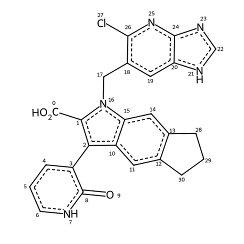 O=C(O)c1c(-c2ccc[nH]c2=O)c2cc3c(cc2n1Cc1cc2[nH]cnc2nc1Cl)CCC3